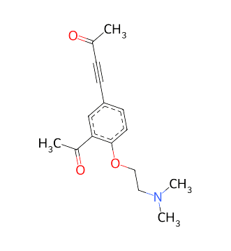 CC(=O)C#Cc1ccc(OCCN(C)C)c(C(C)=O)c1